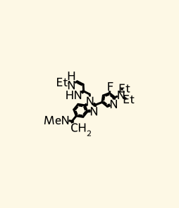 C=C(NC)c1ccc2c(c1)nc(-c1cnc(N(CC)CC)c(F)c1)n2CC(=N)/C=C\NCC